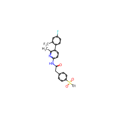 CCS(=O)(=O)c1ccc(CC(=O)Nc2ccc(-c3ccc(F)cc3C(F)(F)F)c(C)n2)cc1